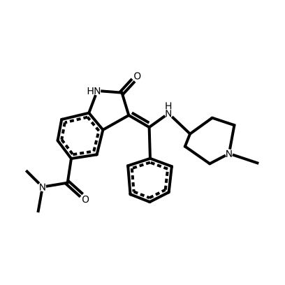 CN1CCC(N/C(=C2\C(=O)Nc3ccc(C(=O)N(C)C)cc32)c2ccccc2)CC1